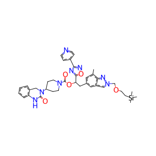 Cc1cc(CC(OC(=O)N2CCC(N3Cc4ccccc4NC3=O)CC2)c2nc(-c3ccncc3)no2)cc2cn(COCC[Si](C)(C)C)nc12